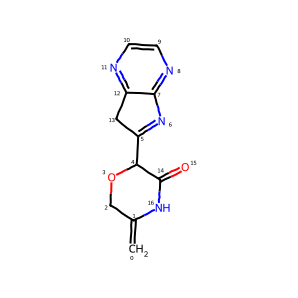 C=C1COC(C2=Nc3nccnc3C2)C(=O)N1